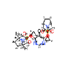 COc1c(OC2CC3CCC(C2)N3S(=O)(=O)C2CC2)ncnc1O[C@@H]1C[C@H]2CC[C@@H](C1)N2S(=O)(=O)C1CC1